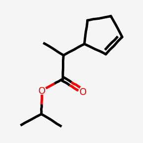 CC(C)OC(=O)C(C)C1C=CCC1